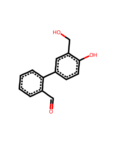 O=Cc1ccccc1-c1ccc(O)c(CO)c1